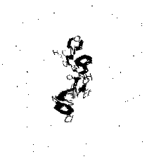 C=C(CN1CCOCC1)C(=O)NC[C@H](Cc1ccccc1)NC(=O)[C@H](Cc1nc2ccc(Cl)cc2s1)NC(=O)CC